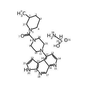 CC1CCCN(C(=O)N2CCN(c3ccnc4cnc5[nH]ccc5c34)CC2)C1.N[SH](=O)=O